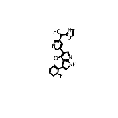 OC(c1cncc(-c2cnc3[nH]cc(-c4ccccc4F)c3c2Cl)c1)c1ncco1